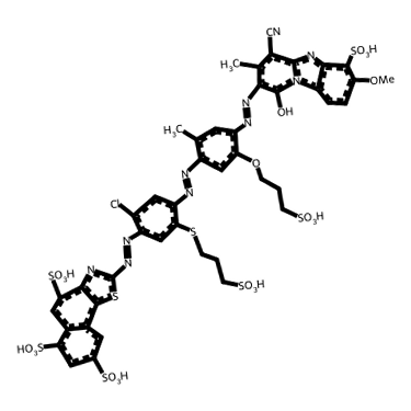 COc1ccc2c(nc3c(C#N)c(C)c(N=Nc4cc(C)c(N=Nc5cc(Cl)c(N=Nc6nc7c(S(=O)(=O)O)cc8c(S(=O)(=O)O)cc(S(=O)(=O)O)cc8c7s6)cc5SCCCS(=O)(=O)O)cc4OCCCS(=O)(=O)O)c(O)n32)c1S(=O)(=O)O